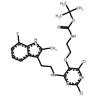 Cc1[nH]c2c(F)cccc2c1CCNc1nc(Cl)nc(Cl)c1OCCNC(=O)OC(C)(C)C